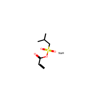 C=CC(=O)OS(=O)(=O)CC(C)C.[NaH]